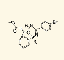 COC(=O)C=C(C)OP(=S)(N=C(N)c1ccc(Br)cc1)c1ccccc1